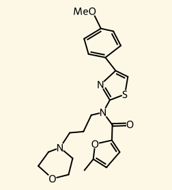 COc1ccc(-c2csc(N(CCCN3CCOCC3)C(=O)c3ccc(C)o3)n2)cc1